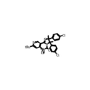 CCOc1cc(C(C)(C)C)ncc1C1=NC(C)(c2ccc(Cl)cc2)C(C)(c2ccc(Cl)cc2)N1C(=O)N(C)C